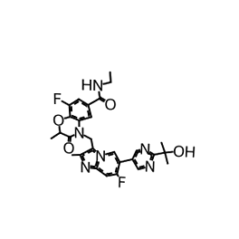 CCNC(=O)c1cc(F)c2c(c1)N(Cc1c(C)nc3cc(F)c(-c4cnc(C(C)(C)O)nc4)cn13)C(=O)C(C)O2